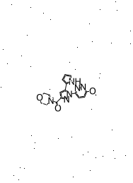 COc1ccc(-n2nc(C(=O)N3CCOCC3)cc2-c2ccc[nH]2)nn1